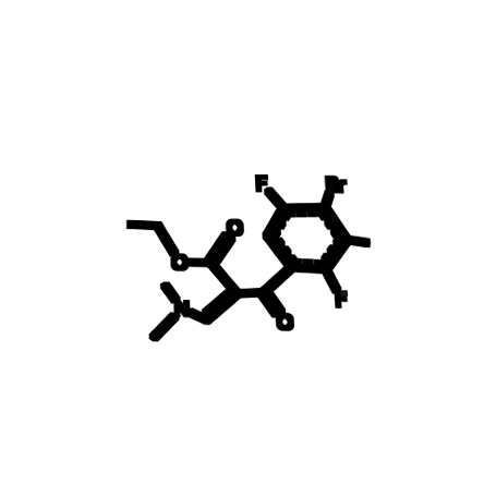 CCOC(=O)/C(=C\N(C)C)C(=O)c1cc(F)c(Br)c(C)c1F